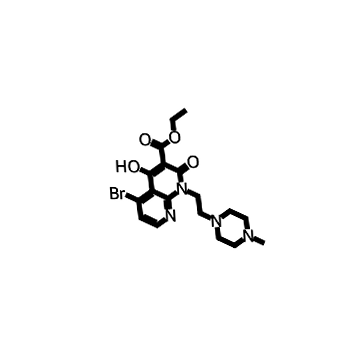 CCOC(=O)c1c(O)c2c(Br)ccnc2n(CCN2CCN(C)CC2)c1=O